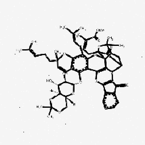 COC(=O)/C(C)=C\CC12OC(C)(C)C3CC(C1=O)C1C4=C(OC5=C1C32Oc1c(CC=C(C)C)c2c(c(O[C@@H]3O[C@@H]6COC(C)(C)O[C@H]6[C@H](O)[C@H]3O)c15)C=CC(C)(CCC=C(C)C)O2)c1ccccc1C4=O